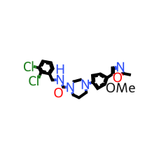 COc1cc(N2CCCN(C(=O)NCc3cccc(Cl)c3Cl)CC2)ccc1-c1cnc(C)o1